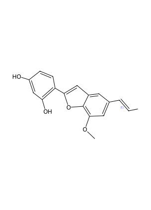 C/C=C/c1cc(OC)c2oc(-c3ccc(O)cc3O)cc2c1